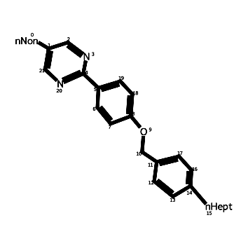 CCCCCCCCCc1cnc(-c2ccc(OCc3ccc(CCCCCCC)cc3)cc2)nc1